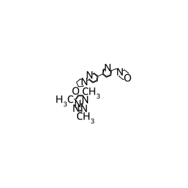 Cc1nc2nc(C)c(OC3CCN(c4ccc(-c5ccc(CN6CCOCC6)nc5)cn4)C3)c(C)n2n1